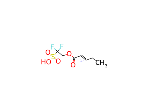 CC/C=C/C(=O)OCC(F)(F)S(=O)(=O)O